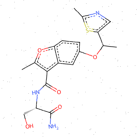 Cc1ncc(C(C)Oc2ccc3oc(C)c(C(=O)N[C@@H](CO)C(N)=O)c3c2)s1